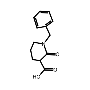 O=C(O)C1CCCN(Cc2ccccc2)C1=O